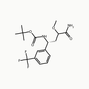 COC(C[C@@H](NC(=O)OC(C)(C)C)c1cccc(C(F)(F)F)c1)C(N)=O